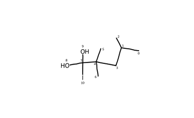 CC(C)CC(C)(C)C(O)(O)I